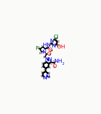 NC(=O)c1nn(CC(=O)N2CC(F)CC2C(=O)Nc2nc(O)cc(Cl)n2)c2ccc(-c3ccnnc3)cc12